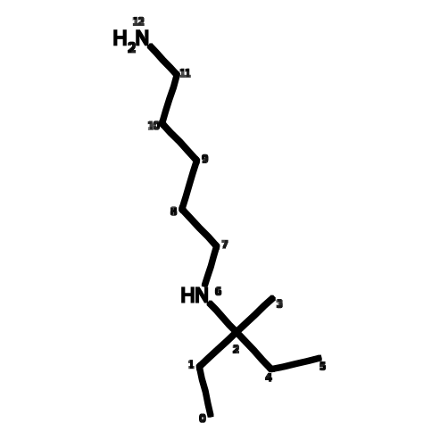 CCC(C)(CC)NCCCCCN